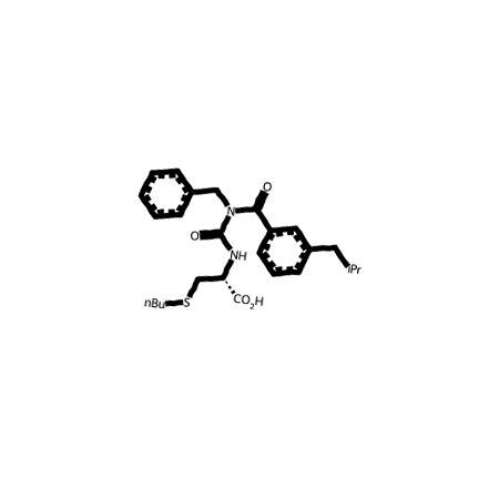 CCCCSC[C@H](NC(=O)N(Cc1ccccc1)C(=O)c1cccc(CC(C)C)c1)C(=O)O